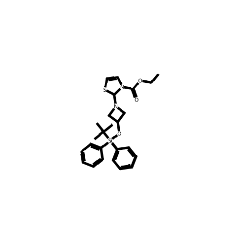 CCOC(=O)N1C=CSC1N1CC(O[Si](c2ccccc2)(c2ccccc2)C(C)(C)C)C1